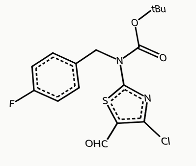 CC(C)(C)OC(=O)N(Cc1ccc(F)cc1)c1nc(Cl)c(C=O)s1